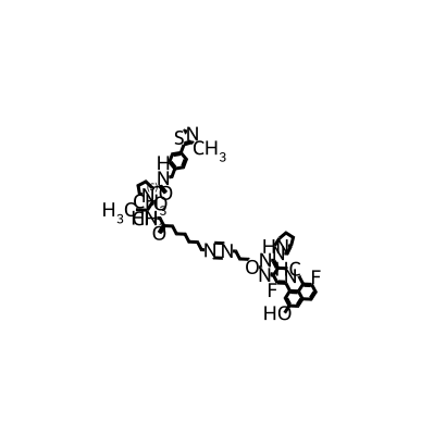 C#Cc1c(F)ccc2cc(O)cc(-c3ncc4c(N5CC6CCC(C5)N6)nc(OCCCN5CCN(CCCCCCC(=O)CNC(C(=O)N6CCC[C@H]6C(=O)NCc6ccc(-c7scnc7C)cc6)C(C)(C)C)CC5)nc4c3F)c12